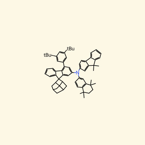 CC(C)(C)c1cc(-c2cc(N(c3ccc4c(c3)C(C)(C)CCC4(C)C)c3ccc4c(c3)C(C)(C)c3ccccc3-4)cc3c2-c2ccccc2C32C3CC4CC5CC2C53C4)cc(C(C)(C)C)c1